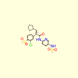 CS(=O)(=O)Nc1ccc(NC(=O)/C(=C/C2CCCC2)c2ccc(S(C)(=O)=O)c(Cl)c2)nc1